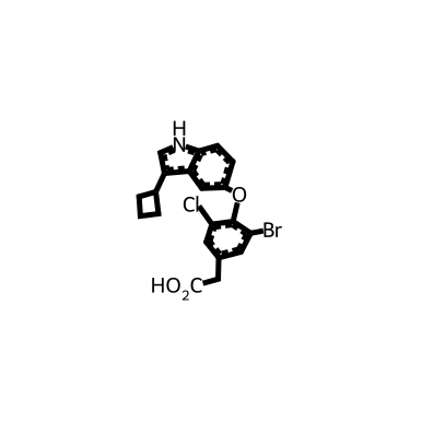 O=C(O)Cc1cc(Cl)c(Oc2ccc3[nH]cc(C4CCC4)c3c2)c(Br)c1